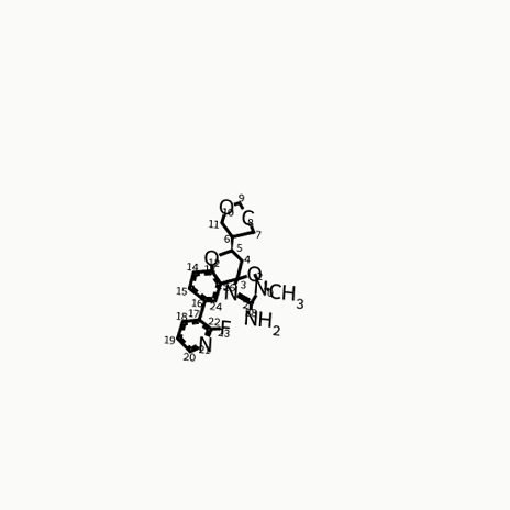 CN1OC2(C[C@H](C3CCCOC3)Oc3ccc(-c4cccnc4F)cc32)N=C1N